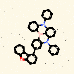 c1ccc(N2c3ccccc3B3c4ccc(-c5cccc6oc7ccccc7c56)cc4N(c4ccccc4)c4cccc2c43)cc1